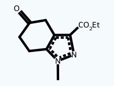 CCOC(=O)c1nn(C)c2c1CC(=O)CC2